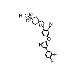 CS(=O)(=O)N1CCC2(CCN(c3ccc(Oc4cncc(-c5ccc(F)c(F)c5)c4)cc3C#N)C2)CC1